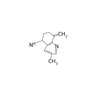 C=C1CCC(C#N)c2cc(C)cnc21